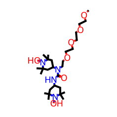 COCCOCCOCCOCCN(C(=O)NC1CC(C)(C)N(O)C(C)(C)C1)C1CC(C)(C)N(O)C(C)(C)C1